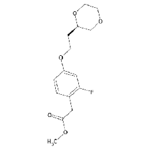 COC(=O)Cc1ccc(OCC[C@@H]2COCCO2)cc1F